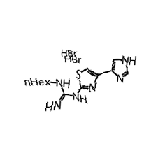 Br.Br.CCCCCCNC(=N)Nc1nc(-c2c[nH]cn2)cs1